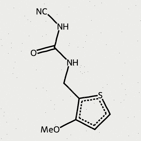 COc1ccsc1CNC(=O)NC#N